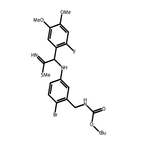 COc1cc(F)c(C(Nc2ccc(Br)c(CNC(=O)OC(C)(C)C)c2)C(=N)SC)cc1OC